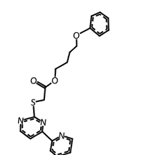 O=C(CSc1nccc(-c2ccccn2)n1)OCCCCOc1ccccc1